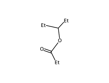 [CH2]CC(CC)OC(=O)CC